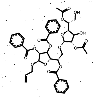 C=CCO[C@@H]1O[C@@H]([C@@H](CO[C@@H]2O[C@@H]([C@@H](CO)OC(C)=O)C(O)[C@@H]2OC(C)=O)OC(=O)c2ccccc2)C(OC(=O)c2ccccc2)[C@@H]1OC(=O)c1ccccc1